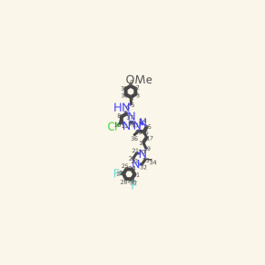 COc1ccc(CNc2cc(Cl)nc(-n3ncc(C=CCN4CCN(c5cc(F)cc(F)c5)C[C@@H]4C)c3C)n2)cc1